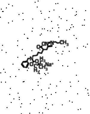 CCCn1cnc(CC(CCCCN(Cc2ccccc2)C(=O)OC(C)(C)C)C(=O)[O-])c1.[Na+]